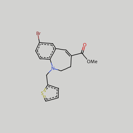 COC(=O)C1=Cc2cc(Br)ccc2N(Cc2cccs2)CC1